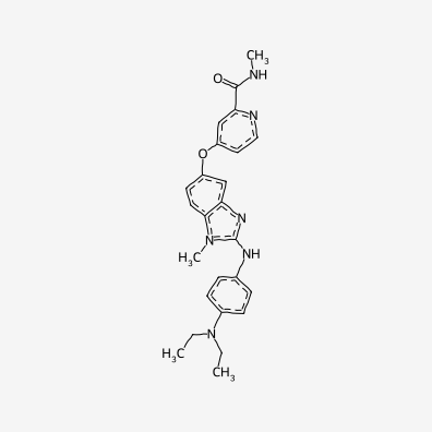 CCN(CC)c1ccc(Nc2nc3cc(Oc4ccnc(C(=O)NC)c4)ccc3n2C)cc1